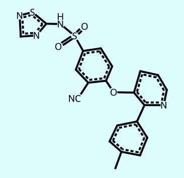 Cc1ccc(-c2ncccc2Oc2ccc(S(=O)(=O)Nc3ncns3)cc2C#N)cc1